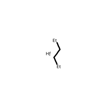 [CH2]CCCCC.[Hf]